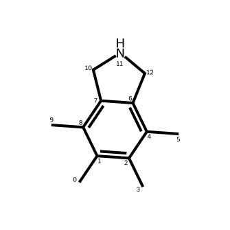 Cc1c(C)c(C)c2c(c1C)CNC2